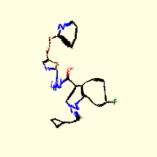 O=C(Nc1ncc(Sc2ccccn2)s1)c1cn(CC2CC2)c2cc(F)ccc12